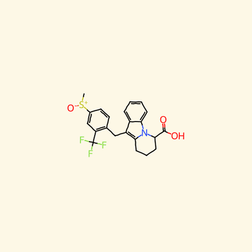 C[S+]([O-])c1ccc(Cc2c3n(c4ccccc24)C(C(=O)O)CCC3)c(C(F)(F)F)c1